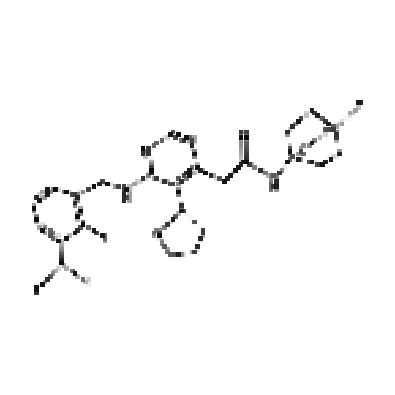 O=C(Cc1ncnc(NCc2cccc(C(F)F)c2F)c1C1CCCO1)NC12CCC(F)(CC1)CC2